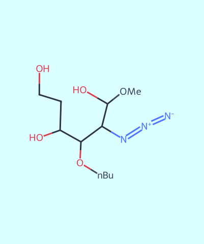 CCCCOC(C(O)CCO)C(N=[N+]=[N-])C(O)OC